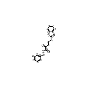 O=C(CCCc1nc2ccccc2s1)C(=O)OCc1ccccc1